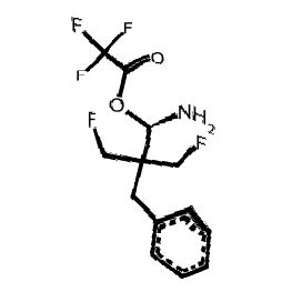 N[C@H](OC(=O)C(F)(F)F)C(CF)(CF)Cc1ccccc1